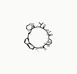 CC(C)C1OC(=O)C2(/C=C/c3ccc4ccc(nc4c3)[C@@H](C)NC(=O)[C@@H]3CCCN(N3)C(=O)[C@H](C)NC1=O)COCCO2